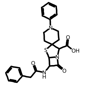 O=C(Cc1ccccc1)NC1C(=O)N2C1SC1(CCN(c3ccccc3)CC1)C2C(=O)O